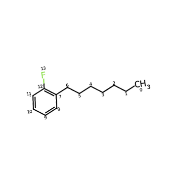 CCCCCCCc1ccc[c]c1F